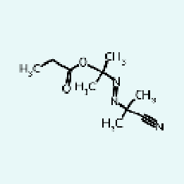 CCC(=O)OC(C)(C)N=NC(C)(C)C#N